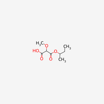 CCC(C)OC(=O)C(OC)C(=O)O